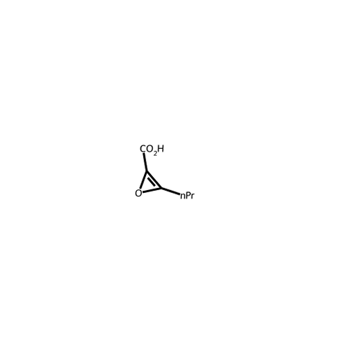 CCCC1=C(C(=O)O)O1